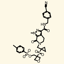 Cc1ccc(S(=O)(=O)OCC2(S(=O)(=O)C3(CN4CCc5c(C(=O)NCc6ccc(C#N)cc6)nn(C)c5C4=O)CC3)COC2)cc1